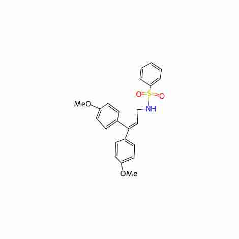 COc1ccc(C(=CCNS(=O)(=O)c2ccccc2)c2ccc(OC)cc2)cc1